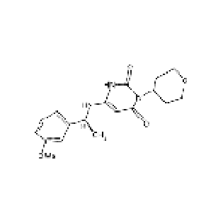 COc1cccc([C@H](C)Nc2cc(=O)n(C3CCOCC3)c(=O)[nH]2)c1